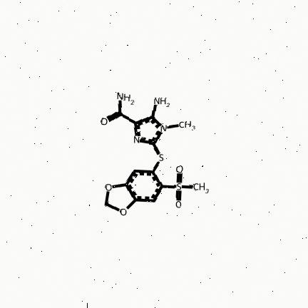 Cn1c(Sc2cc3c(cc2S(C)(=O)=O)OCO3)nc(C(N)=O)c1N